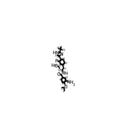 CC(C)Oc1ccc(C(=O)N[C@H](CCO)Cc2ccc(-c3c[nH]c(C(C)(C)C)n3)c(F)c2)cc1N